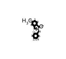 Cc1ccc2c(c1)CN(Cc1ccccc1)C2=O